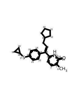 Cc1ccc(C(=CCC2CCCC2)c2ccc(SC3CC3)cc2)[nH]c1=O